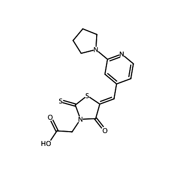 O=C(O)CN1C(=O)C(=Cc2ccnc(N3CCCC3)c2)SC1=S